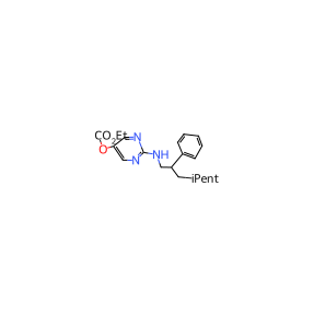 CCCC(C)CC(CNc1ncc(OC(=O)OCC)cn1)c1ccccc1